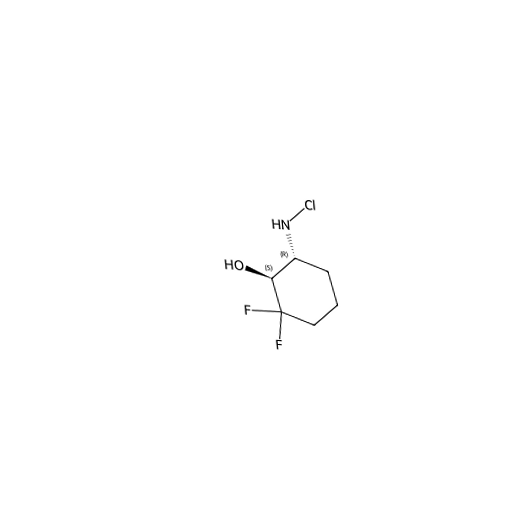 O[C@H]1[C@H](NCl)CCCC1(F)F